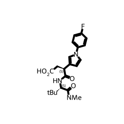 CNC(=O)[C@@H](NC(=O)[C@@H](CC(=O)O)c1ccn(-c2ccc(F)cc2)c1)C(C)(C)C